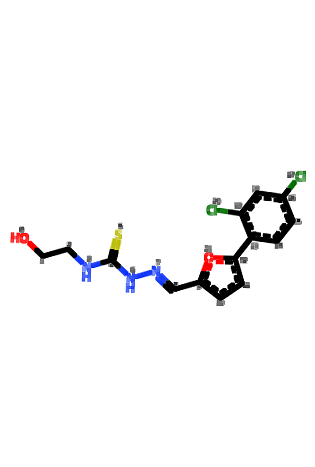 OCCNC(=S)NN=Cc1ccc(-c2ccc(Cl)cc2Cl)o1